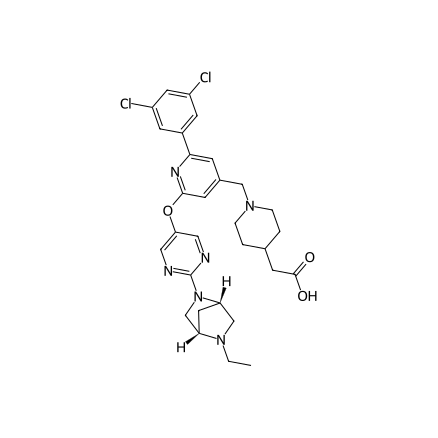 CCN1C[C@@H]2C[C@H]1CN2c1ncc(Oc2cc(CN3CCC(CC(=O)O)CC3)cc(-c3cc(Cl)cc(Cl)c3)n2)cn1